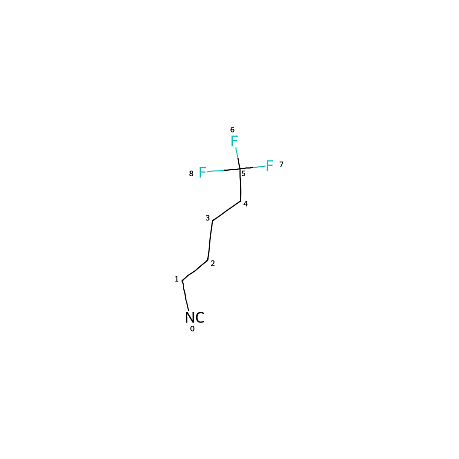 [C-]#[N+]CCCCC(F)(F)F